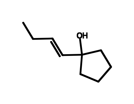 CCC=CC1(O)CCCC1